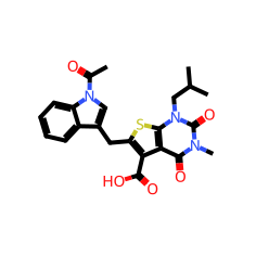 CC(=O)n1cc(Cc2sc3c(c2C(=O)O)c(=O)n(C)c(=O)n3CC(C)C)c2ccccc21